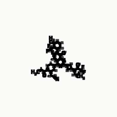 C=CC(=O)N1CCN(c2nc(N3CC(N(CC)C(=O)C(F)(F)F)C3)nc3c(=O)n(-c4cccc(C)c4C(F)(F)F)ncc23)CC1CC#N